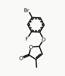 CC1=CC(Oc2ccc(Br)cc2F)OC1=O